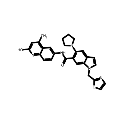 Cc1cc(O)nc2ccc(NC(=O)c3cc4c(ccn4Cc4ncco4)cc3N3CCCC3)cc12